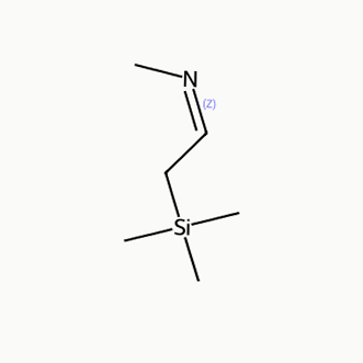 C/N=C\C[Si](C)(C)C